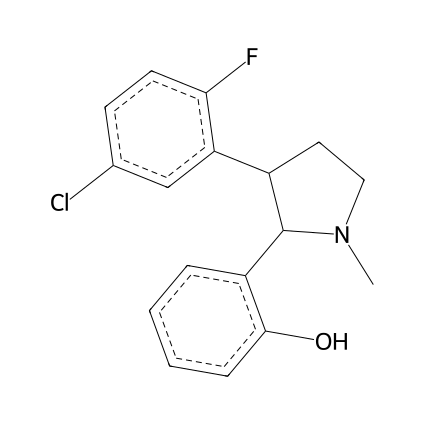 CN1CCC(c2cc(Cl)ccc2F)C1c1ccccc1O